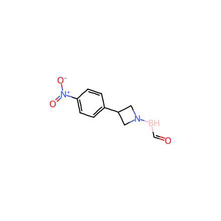 O=CBN1CC(c2ccc([N+](=O)[O-])cc2)C1